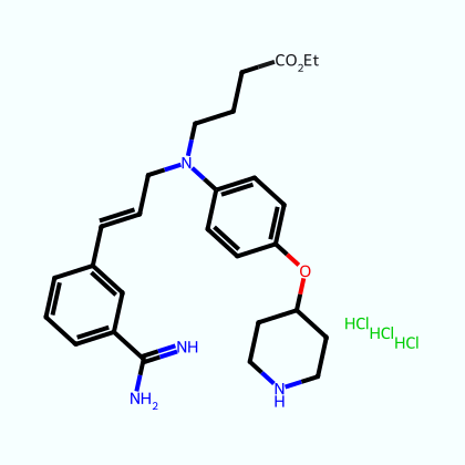 CCOC(=O)CCCN(C/C=C/c1cccc(C(=N)N)c1)c1ccc(OC2CCNCC2)cc1.Cl.Cl.Cl